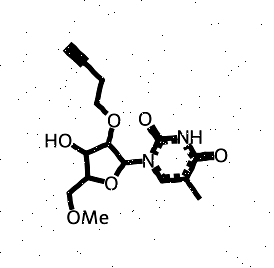 C#CCCOC1C(O)C(COC)OC1n1cc(C)c(=O)[nH]c1=O